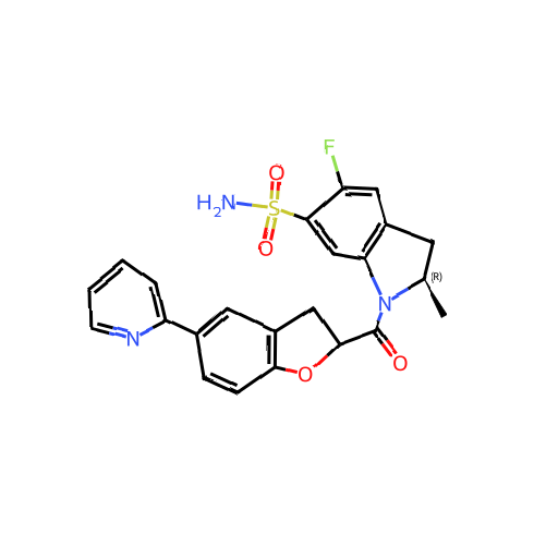 C[C@@H]1Cc2cc(F)c(S(N)(=O)=O)cc2N1C(=O)C1Cc2cc(-c3ccccn3)ccc2O1